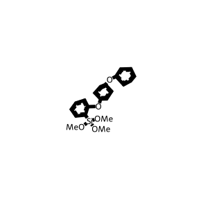 CO[Si](OC)(OC)c1ccccc1Oc1ccc(Oc2ccccc2)cc1